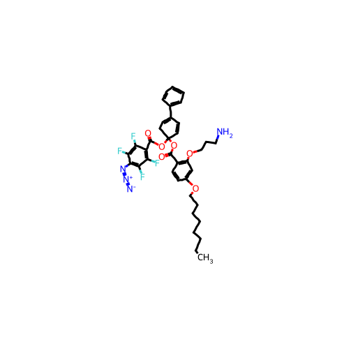 CCCCCCCCOc1ccc(C(=O)OC2(OC(=O)c3c(F)c(F)c(N=[N+]=[N-])c(F)c3F)C=CC(c3ccccc3)=CC2)c(OCCCN)c1